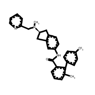 Cc1cccc(C(=O)Nc2ccc3c(c2)C[C@@H](N(C)Cc2ccccn2)C3)c1-c1ccc(C(F)(F)F)cc1